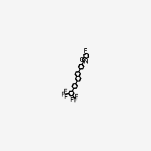 Fc1ccc2nc(-c3ccc(-c4ccc5cc(-c6ccc(-c7cc(C(F)(F)F)cc(C(F)(F)F)c7)cc6)ccc5c4)cc3)oc2c1